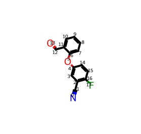 N#Cc1cc(Oc2ccccc2C=O)ccc1F